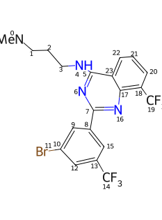 CNCCCNc1nc(-c2cc(Br)cc(C(F)(F)F)c2)nc2c(C(F)(F)F)cccc12